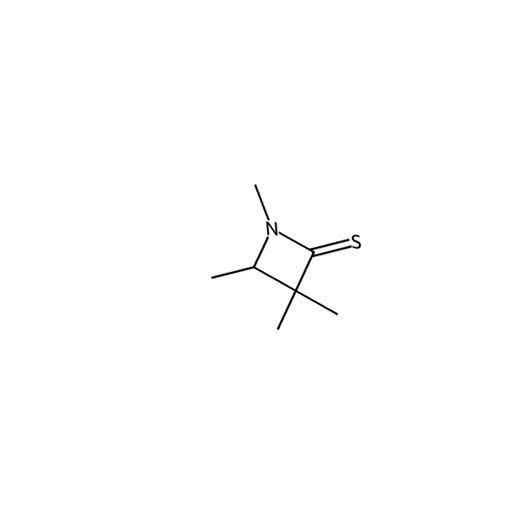 CC1N(C)C(=S)C1(C)C